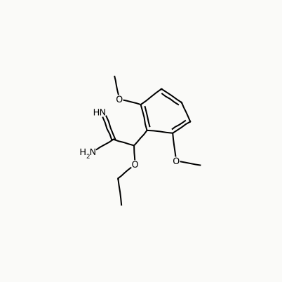 CCOC(C(=N)N)c1c(OC)cccc1OC